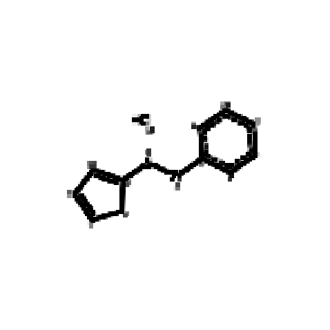 C1=CCC([S][Zr][c]2ccccc2)=C1.Cl